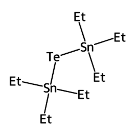 C[CH2][Sn]([CH2]C)([CH2]C)[Te][Sn]([CH2]C)([CH2]C)[CH2]C